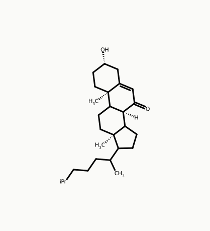 CC(C)CCCC(C)C1CCC2[C@@H]3C(=O)C=C4C[C@@H](O)CC[C@]4(C)C3CC[C@]12C